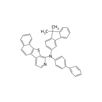 CC1(C)c2ccccc2-c2cc(N(c3ccc(-c4ccccc4)cc3)c3nccc4c3sc3c5ccccc5ccc43)ccc21